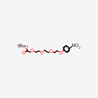 CC(C)(C)OC(=O)COCCOCCOCCOc1ccc([N+](=O)[O-])cc1